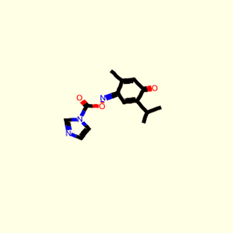 CC1=CC(=O)C(C(C)C)=CC1=NOC(=O)n1ccnc1